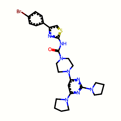 O=C(Nc1nc(-c2ccc(Br)cc2)cs1)N1CCN(c2cc(N3CCCC3)nc(N3CCCC3)n2)CC1